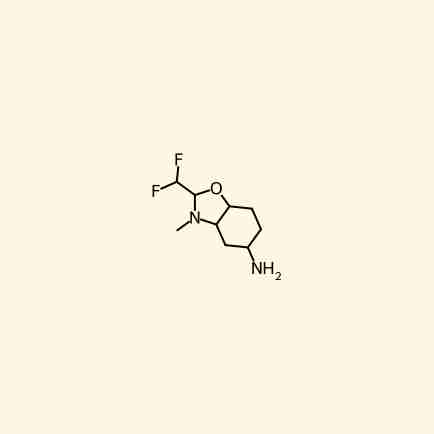 CN1C2CC(N)CCC2OC1C(F)F